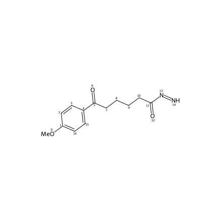 COc1ccc(C(=O)CCCCC(=O)N=N)cc1